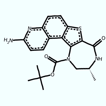 C[C@@H]1CN(C(=O)OC(C)(C)C)c2c(sc3ccc4nc(N)ccc4c23)C(=O)N1